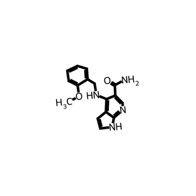 COc1ccccc1CNc1c(C(N)=O)cnc2[nH]ccc12